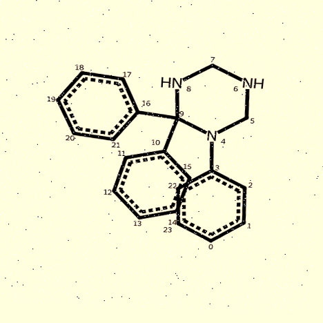 c1ccc(N2CNCNC2(c2ccccc2)c2ccccc2)cc1